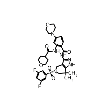 CC1(C)CN(S(=O)(=O)c2cc(F)cc(F)c2)Cc2c(NC(=O)c3ccc(N4CCOCC4)cc3NC(=O)C3CCOCC3)n[nH]c21